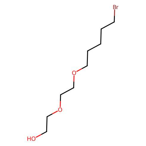 OCCOCCOCCCCCBr